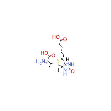 CC(C)[C@H](N)C(=O)O.O=C(O)CCCC[C@@H]1SC[C@@H]2NC(=O)N[C@@H]21